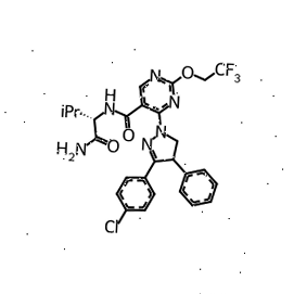 CC(C)[C@H](NC(=O)c1cnc(OCC(F)(F)F)nc1N1CC(c2ccccc2)C(c2ccc(Cl)cc2)=N1)C(N)=O